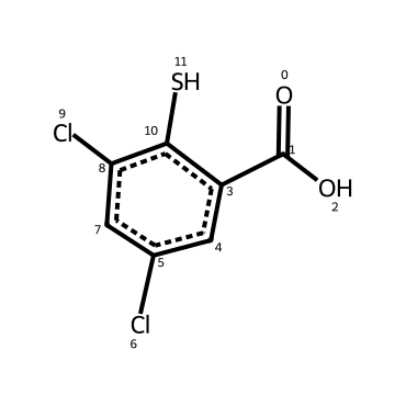 O=C(O)c1cc(Cl)cc(Cl)c1S